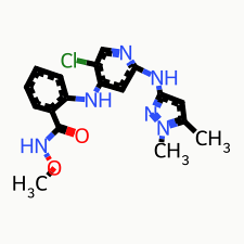 CONC(=O)c1ccccc1Nc1cc(Nc2cc(C)n(C)n2)ncc1Cl